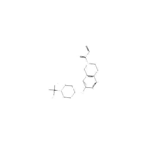 C=CC(=O)N1CCc2ccc(N[C@H]3CC[C@H](C(F)(F)F)CC3)cc2C1